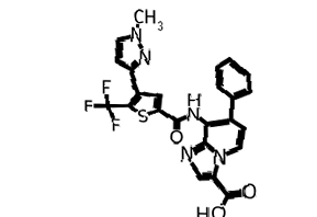 Cn1ccc(-c2cc(C(=O)Nc3c(-c4ccccc4)ccn4c(C(=O)O)cnc34)sc2C(F)(F)F)n1